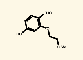 COCCOc1cc(O)ccc1C=O